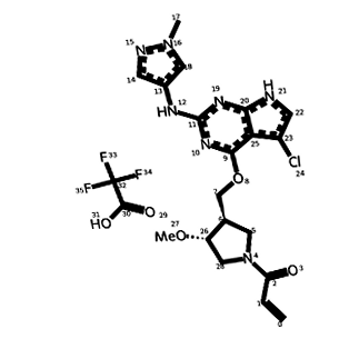 C=CC(=O)N1C[C@H](COc2nc(Nc3cnn(C)c3)nc3[nH]cc(Cl)c23)[C@@H](OC)C1.O=C(O)C(F)(F)F